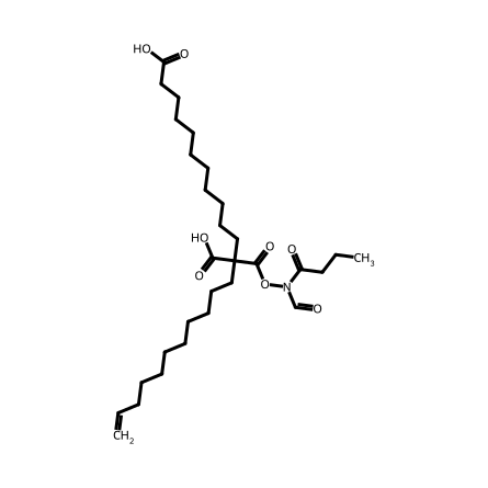 C=CCCCCCCCCCC(CCCCCCCCCCC(=O)O)(C(=O)O)C(=O)ON(C=O)C(=O)CCC